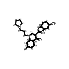 O=c1c(-c2nc3cc(Cl)ccc3s2)cn(CCCN2CCCC2)c2cc(F)ccc12